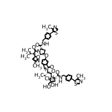 Cc1cc([C@H](C(=O)N2C[C@H](Oc3ccc4c(c3)C(=O)N([C@H](C(=O)N3C[C@](O)(CO)C[C@H]3C(=O)NCc3ccc(-c5scnc5C)cc3)C(C)C)C4)C[C@H]2C(=O)NCc2ccc(-c3scnc3C)cc2)C(C)C)on1